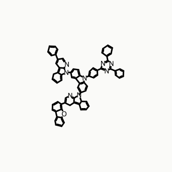 C1=CCC2=C3C=C(c4ccccc4)C=NC3N(c3ccc4c(c3)c3cc(N5C6=NC=C(c7cccc8c7oc7ccccc78)CC6=C6C=CC=CC65)ccc3n4-c3ccc(-c4nc(-c5ccccc5)nc(-c5ccccc5)n4)cc3)C2=C1